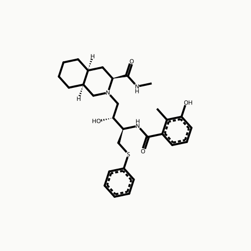 CNC(=O)[C@@H]1C[C@@H]2CCCC[C@@H]2CN1C[C@@H](O)[C@H](CSc1ccccc1)NC(=O)c1cccc(O)c1C